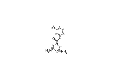 COc1cccc(CC(=O)N2CC(N)CC(N)C2)c1